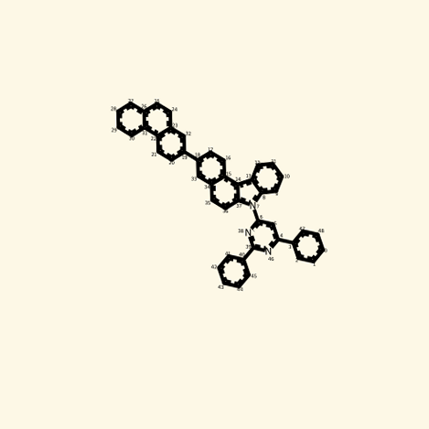 c1ccc(-c2cc(-n3c4ccccc4c4c5ccc(-c6ccc7c(ccc8ccccc87)c6)cc5ccc43)nc(-c3ccccc3)n2)cc1